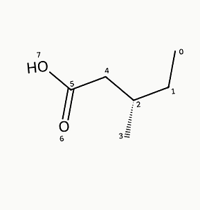 CC[C@H](C)CC(=O)O